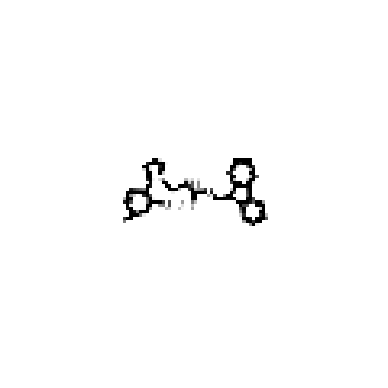 O=Cc1cc(F)ccc1C1=CC=C[SH]1CNC(=O)OCC1c2ccccc2-c2ccccc21